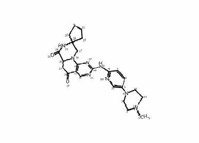 CN1CCN(c2ccc(Nc3ncc4c(n3)N3CC5(CCCC5)NC(=O)C3CC4=O)nc2)CC1